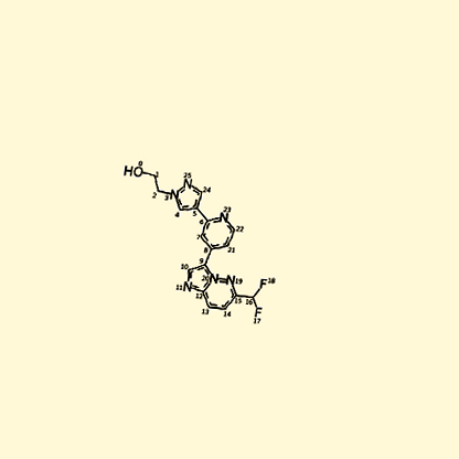 OCCn1cc(-c2cc(-c3cnc4ccc(C(F)F)nn34)ccn2)cn1